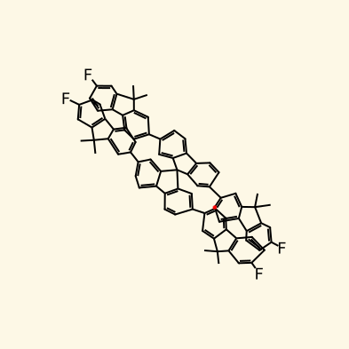 CC1(C)c2cc(F)ccc2-c2ccc(-c3ccc4c(c3)C3(c5cc(-c6ccc7c(c6)C(C)(C)c6cc(F)ccc6-7)ccc5-4)c4cc(-c5ccc6c(c5)C(C)(C)c5cc(F)ccc5-6)ccc4-c4ccc(-c5ccc6c(c5)C(C)(C)c5cc(F)ccc5-6)cc43)cc21